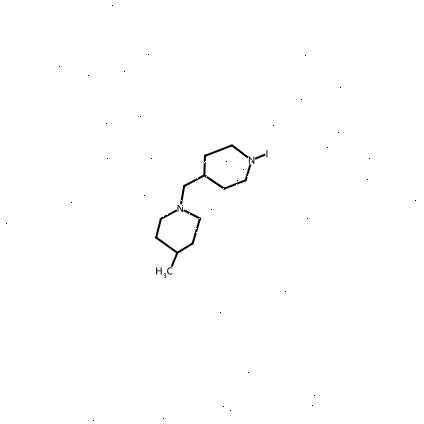 CC1CCN(CC2CCN(I)CC2)CC1